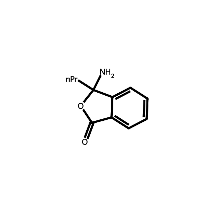 CCCC1(N)OC(=O)c2ccccc21